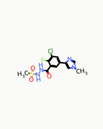 Cn1cnc(-c2cc(Cl)c(F)c(C(=O)NNS(C)(=O)=O)c2)c1